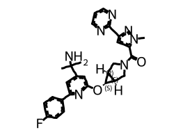 Cn1nc(-c2ncccn2)cc1C(=O)N1C[C@@H]2[C@H](C1)[C@H]2Oc1cc(C(C)(C)N)cc(-c2ccc(F)cc2)n1